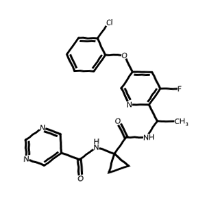 CC(NC(=O)C1(NC(=O)c2cncnc2)CC1)c1ncc(Oc2ccccc2Cl)cc1F